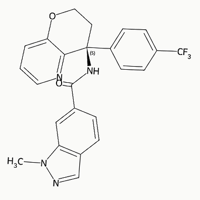 Cn1ncc2ccc(C(=O)N[C@]3(c4ccc(C(F)(F)F)cc4)CCOc4cccnc43)cc21